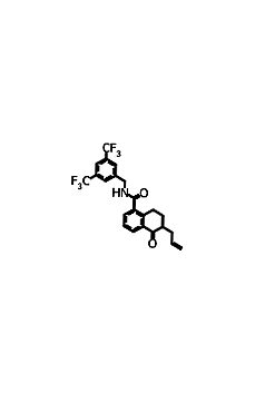 C=CCC1CCc2c(C(=O)NCc3cc(C(F)(F)F)cc(C(F)(F)F)c3)cccc2C1=O